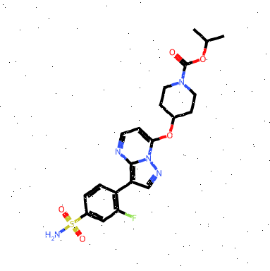 CC(C)OC(=O)N1CCC(Oc2ccnc3c(-c4ccc(S(N)(=O)=O)cc4F)cnn23)CC1